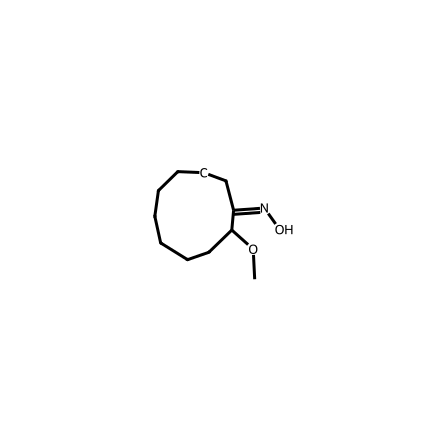 COC1CCCCCCCCC1=NO